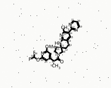 COc1cc([C@@H](C)C(=O)N2CC[C@@]3(CCc4cc(-c5ncccn5)c(C)nc4N3)C2)cc(OC(F)F)n1